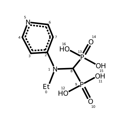 CCN(c1ccncc1)C(P(=O)(O)O)P(=O)(O)O